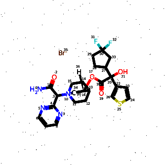 NC(=O)C(c1ncccn1)[N+]12CCC(CC1)[C@@H](OC(=O)C(O)(c1ccsc1)C1CCC(F)(F)C1)C2.[Br-]